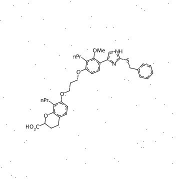 CCCc1c(OCCCOc2ccc(-c3c[nH]c(SCc4ccccc4)n3)c(OC)c2CCC)ccc2c1OC(C(=O)O)CC2